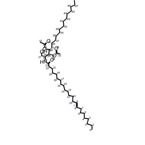 CCCCCCCC/C=C/CCCCCCCCCCCCCC(=O)N[C@@H](CO)[C@H](OC(C)=O)[C@@H](CCCCCCCCCCCCCC)OC(C)=O